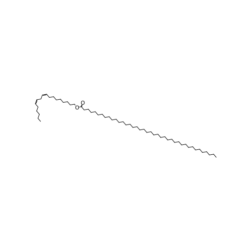 CCCCC/C=C\C/C=C\CCCCCCCCOC(=O)CCCCCCCCCCCCCCCCCCCCCCCCCCCCCCCCCCCCCCC